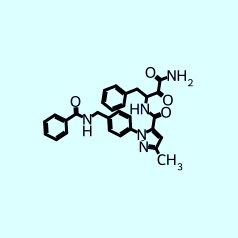 Cc1cc(C(=O)NC(Cc2ccccc2)C(=O)C(N)=O)n(-c2ccc(CNC(=O)c3ccccc3)cc2)n1